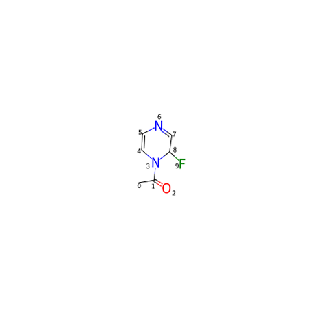 CC(=O)N1C=CN=CC1F